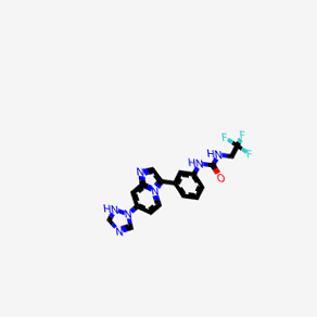 O=C(NCC(F)(F)F)Nc1cccc(-c2cnc3cc(N4C=NCN4)ccn23)c1